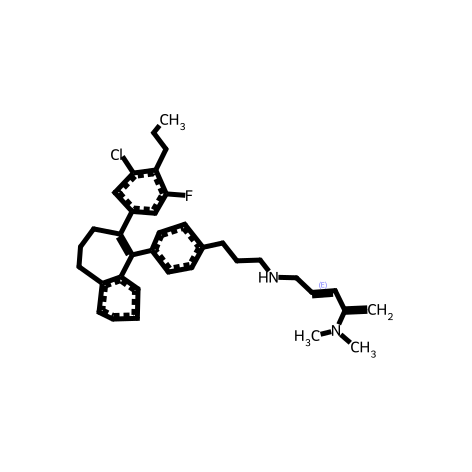 C=C(/C=C/CNCCCc1ccc(C2=C(c3cc(F)c(CCC)c(Cl)c3)CCCc3ccccc32)cc1)N(C)C